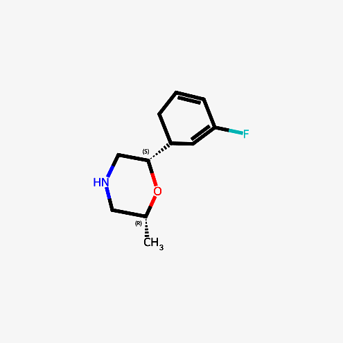 C[C@@H]1CNC[C@H](C2C=C(F)C=CC2)O1